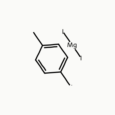 [CH2]c1ccc(C)cc1.[I][Mg][I]